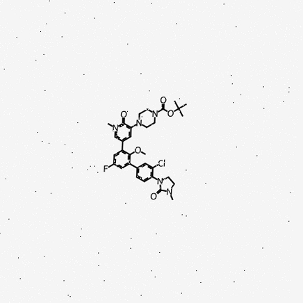 COc1c(-c2ccc(N3CCN(C)C3=O)c(Cl)c2)cc(F)cc1-c1cc(N2CCN(C(=O)OC(C)(C)C)CC2)c(=O)n(C)c1